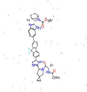 COC(=O)N[C@H](C(=O)N1CC2(CC2)C[C@H]1c1ncc(-c2ccc3c(c2)C(F)(F)c2cc(-c4ccc5nc([C@@H]6[C@H]7CCC(C7)N6C(=O)OC(C)(C)C)[nH]c5c4)ccc2-3)[nH]1)C(C)C